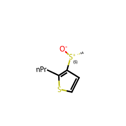 CCCc1sccc1[S@@+](C)[O-]